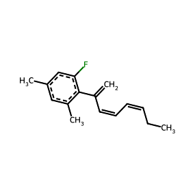 C=C(/C=C\C=C/CC)c1c(C)cc(C)cc1F